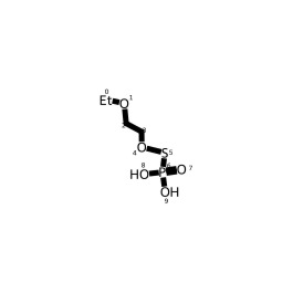 CCOCCOSP(=O)(O)O